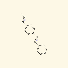 C/N=N/c1ccc(/N=N/c2ccccc2)cc1